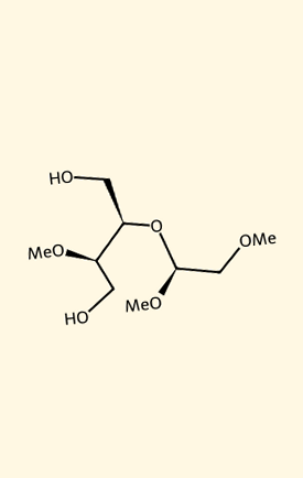 COC[C@@H](OC)O[C@H](CO)[C@@H](CO)OC